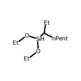 CCCCCC(CC)[SiH](OCC)OCC